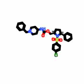 O=C(NC1CCN(Cc2ccccc2)CC1)OC[C@H]1CC[C@@H](c2ccccc2)N1S(=O)(=O)c1ccc(Cl)cc1